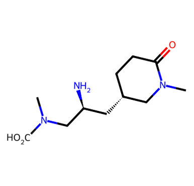 CN(C[C@@H](N)C[C@@H]1CCC(=O)N(C)C1)C(=O)O